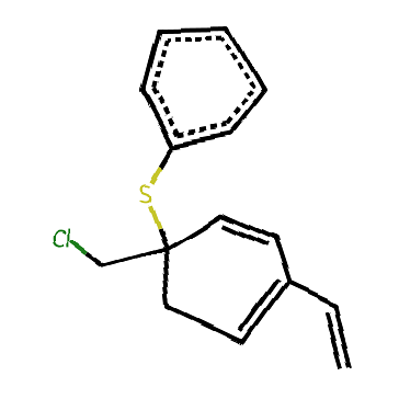 C=CC1=CCC(CCl)(Sc2ccccc2)C=C1